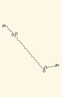 CC(C)CCCCCOC(=O)CCCCCCCCCCCCCCCCCCCCCCCC(=O)OCCCCCC(C)C